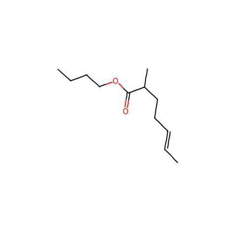 CC=CCCC(C)C(=O)OCCCC